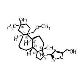 COC[C@]12CC[C@@](C)(O)C[C@@H]1CC[C@H]1[C@@H]3CC[C@H](c4cc(CO)on4)[C@@]3(C)CC[C@@H]12